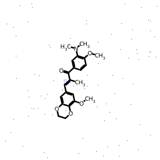 COc1ccc(C(=O)/C(C)=C/c2cc(OC)c3c(c2)OCCO3)cc1N(C)C